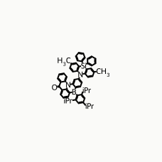 Cc1ccc2c(c1)[Si](c1ccccc1)(c1ccccc1)c1cc(C)ccc1N2c1ccc2c(c1)-n1c3ccccc3c(=O)c3cccc(c31)B2c1c(C(C)C)cc(C(C)C)cc1C(C)C